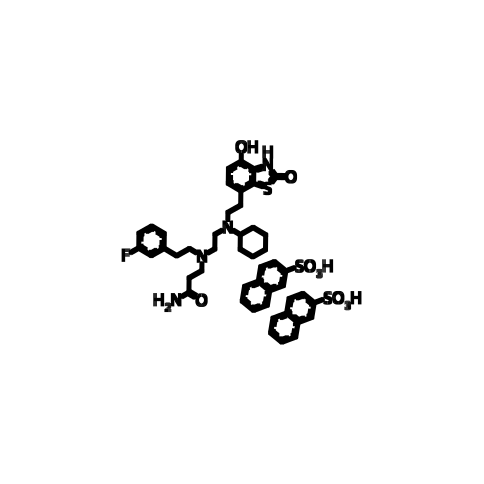 NC(=O)CCN(CCc1cccc(F)c1)CCN(CCc1ccc(O)c2[nH]c(=O)sc12)C1CCCCC1.O=S(=O)(O)c1ccc2ccccc2c1.O=S(=O)(O)c1ccc2ccccc2c1